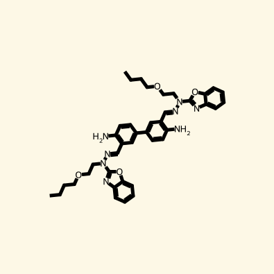 CCCCOCCN(/N=C/c1cc(-c2ccc(N)c(/C=N/N(CCOCCCC)c3nc4ccccc4o3)c2)ccc1N)c1nc2ccccc2o1